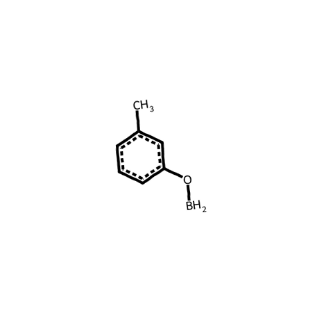 BOc1cccc(C)c1